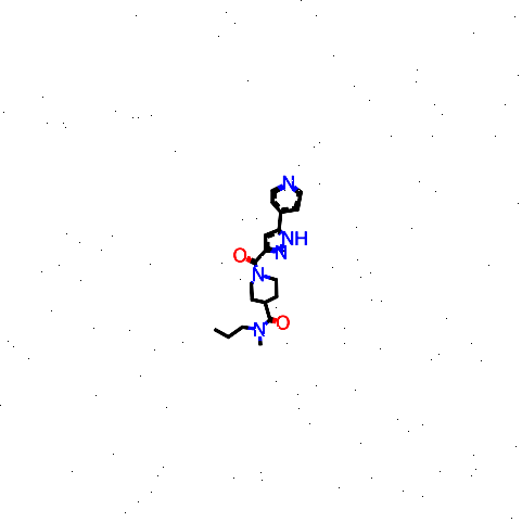 CCCN(C)C(=O)C1CCN(C(=O)c2cc(-c3ccncc3)[nH]n2)CC1